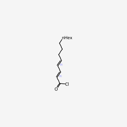 CCCCCCCCC/C=C/C=C/C(=O)Cl